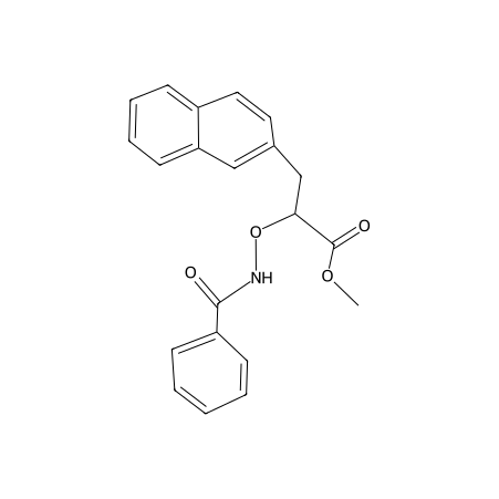 COC(=O)C(Cc1ccc2ccccc2c1)ONC(=O)c1ccccc1